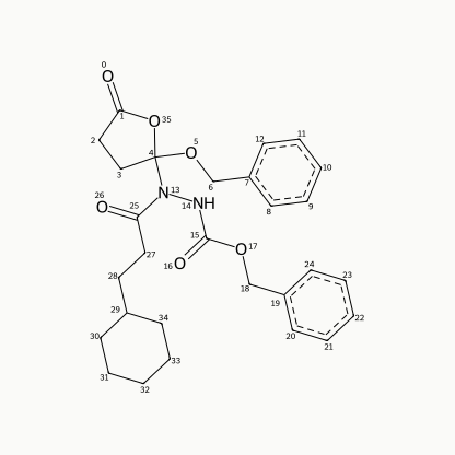 O=C1CCC(OCc2ccccc2)(N(NC(=O)OCc2ccccc2)C(=O)CCC2CCCCC2)O1